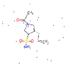 C=CC[C@H]1CN(C(C)=O)C[C@@H]1S(N)(=O)=O